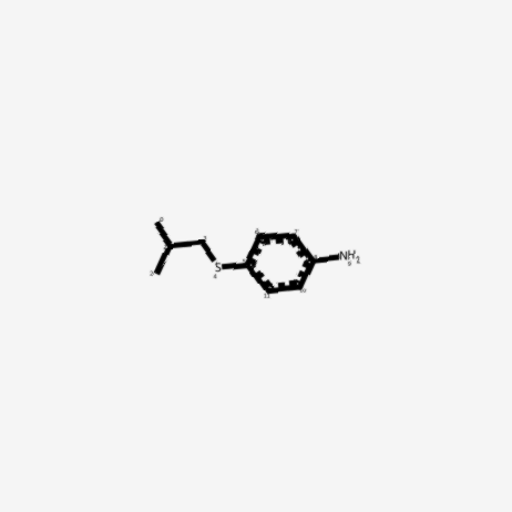 CC(C)CSc1ccc(N)cc1